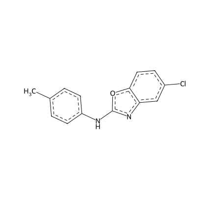 Cc1ccc(Nc2nc3cc(Cl)ccc3o2)cc1